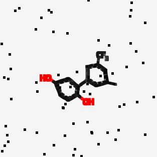 Cc1cc(-c2cc(O)ccc2O)cc(C(F)(F)F)c1